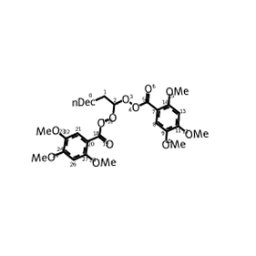 [CH2]CCCCCCCCCC[C](OOC(=O)c1cc(OC)c(OC)cc1OC)OOC(=O)c1cc(OC)c(OC)cc1OC